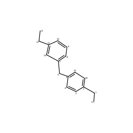 CCc1ccc(Cc2cccc(CC)c2)cc1